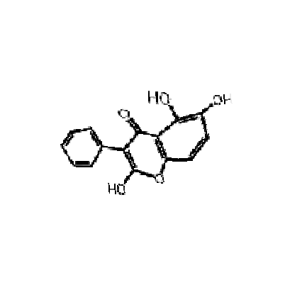 O=c1c(-c2ccccc2)c(O)oc2ccc(O)c(O)c12